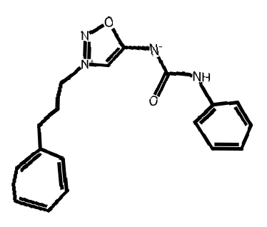 O=C([N-]c1c[n+](CCCc2ccccc2)no1)Nc1ccccc1